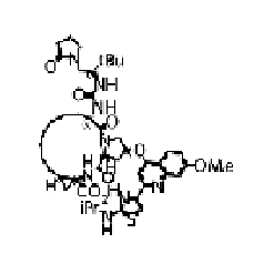 COc1ccc2c(O[C@@H]3C[C@H]4C(=O)N[C@]5(C(=O)O)C[C@@H]5CCCCCCC[C@H](NC(=O)N[C@H](CN5CCCC5=O)C(C)(C)C)C(=O)N4C3)cc(-c3csc(NC(C)C)n3)nc2c1